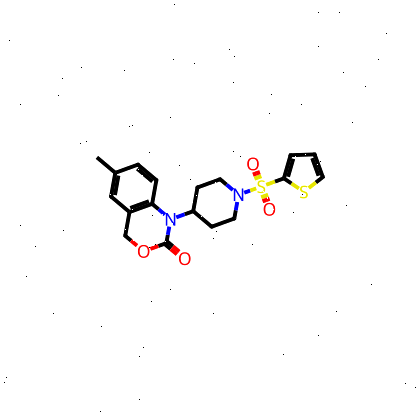 Cc1ccc2c(c1)COC(=O)N2C1CCN(S(=O)(=O)c2cccs2)CC1